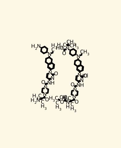 CCN(C1CCc2cc(-n3ccc(NC(=O)N4CCN(C(=O)C(C)(C)N)CC4)nc3=O)ccc2C1)[C@H]1CC[C@H](N)CC1.CCN(C1CCc2cc(-n3ccc(NC(=O)N4CCN(C(=O)C(C)(C)NC(=O)OC(C)(C)C)CC4)nc3=O)ccc2C1)[C@H]1CC[C@H](N(C(=O)O)C(C)(C)C)CC1.Cl